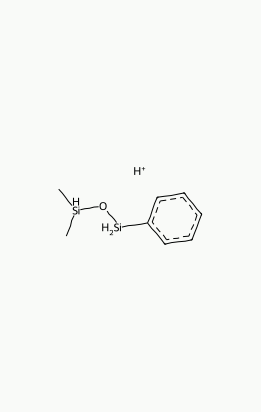 C[SiH](C)O[SiH2]c1ccccc1.[H+]